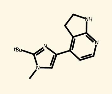 Cn1cc(-c2ccnc3c2CCN3)nc1C(C)(C)C